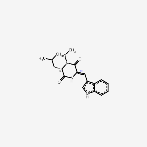 CON1C(=O)/C(=C/c2c[nH]c3ccccc23)NC(=O)[C@@H]1CC(C)C